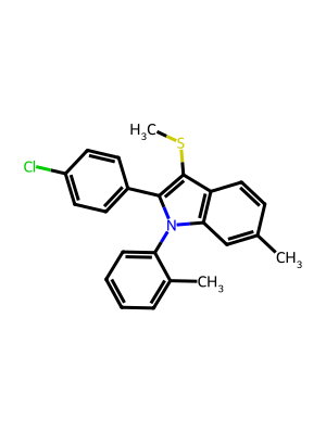 CSc1c(-c2ccc(Cl)cc2)n(-c2ccccc2C)c2cc(C)ccc12